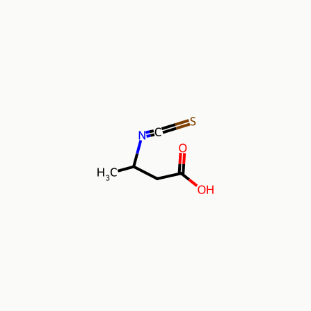 CC(CC(=O)O)N=C=S